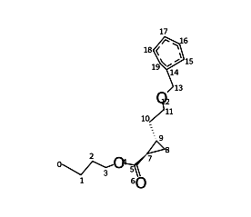 CCCCOC(=O)[C@@H]1C[C@H]1CCOCc1ccccc1